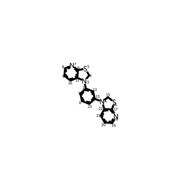 c1cc(N2CSc3ncccc32)cc(N2CSc3ncccc32)c1